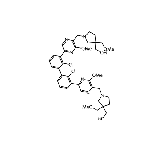 COCC1(CO)CCN(Cc2ncc(-c3cccc(-c4cccc(-c5cnc(CN6CCC(CO)(COC)C6)c(OC)n5)c4Cl)c3Cl)nc2OC)C1